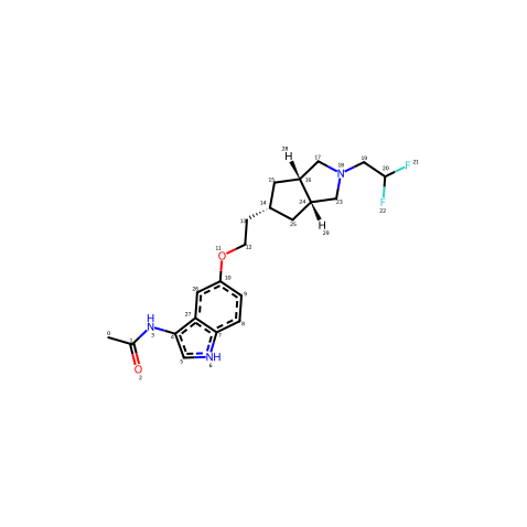 CC(=O)Nc1c[nH]c2ccc(OCC[C@@H]3C[C@@H]4CN(CC(F)F)C[C@@H]4C3)cc12